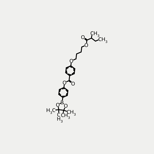 CCC(C)C(=O)OCCCCOc1ccc(C(=O)Oc2ccc(B3OC(C)(C)C(C)(C)O3)cc2)cc1